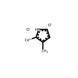 Cc1cc[nH][c]1[Ce+2].[Cl-].[Cl-]